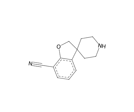 N#Cc1cccc2c1OCC21CCNCC1